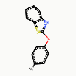 N#Cc1ccc(Oc2nc3ccccc3s2)cc1